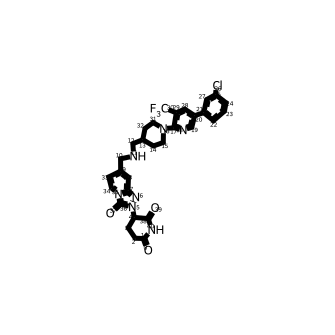 O=C1CCC(n2nc3cc(CNCC4CCN(c5ncc(-c6cccc(Cl)c6)cc5C(F)(F)F)CC4)ccn3c2=O)C(=O)N1